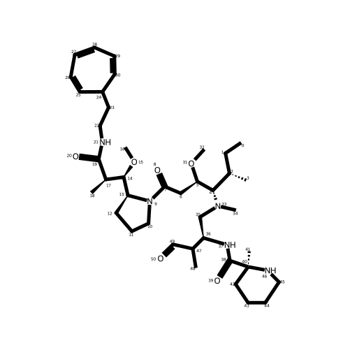 CC[C@H](C)[C@@H]([C@@H](CC(=O)N1CCC[C@H]1[C@H](OC)[C@@H](C)C(=O)NCCC1C=CC=CC=C1)OC)N(C)C[C@@H](NC(=O)[C@]1(C)CCCCN1)C(C)C=O